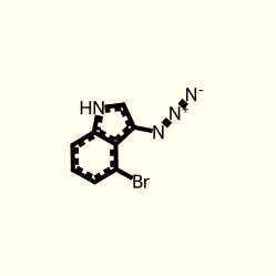 [N-]=[N+]=Nc1c[nH]c2cccc(Br)c12